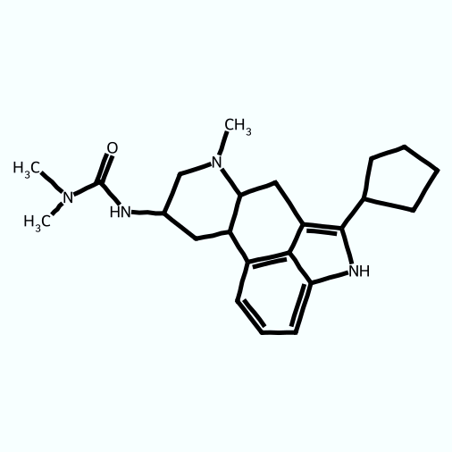 CN(C)C(=O)NC1CC2c3cccc4[nH]c(C5CCCC5)c(c34)CC2N(C)C1